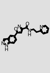 O=C(NCCc1ccccn1)c1cc(-c2ccc3[nH]ncc3c2)on1